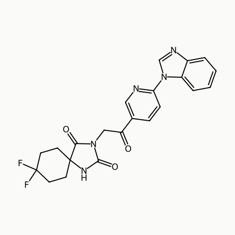 O=C(CN1C(=O)NC2(CCC(F)(F)CC2)C1=O)c1ccc(-n2cnc3ccccc32)nc1